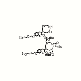 CCOCCOCCOc1ccc(CC(C(=O)OC(C)(C)C)N2CCN(CC(=O)OC(C)(C)C)CCN(CC(=O)OC(C)(C)C)CCN(CC(=O)OC(C)(C)C)CC2)cc1.CCOCCOCCOc1ccc(CC(C(=O)OC(C)(C)C)N2CCNCCNCCNCC2)cc1